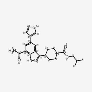 CC(C)COC(=O)N1CCC(c2c[nH]c3c(C(N)=O)cc(-c4ccsc4)cc23)CC1